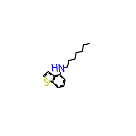 CCCCCCCNc1cccc2sccc12